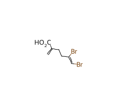 C=C(CCC(Br)=CBr)C(=O)O